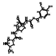 CC1CC(C(=O)NC23CCC(NC(=O)COc4ccc(F)c(F)c4)(CC2)C(=O)C3)ON1